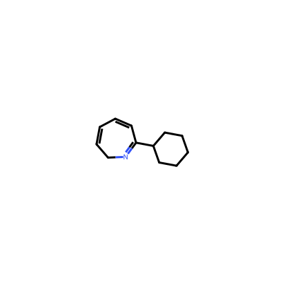 C1=CCN=C(C2CCCCC2)C=C1